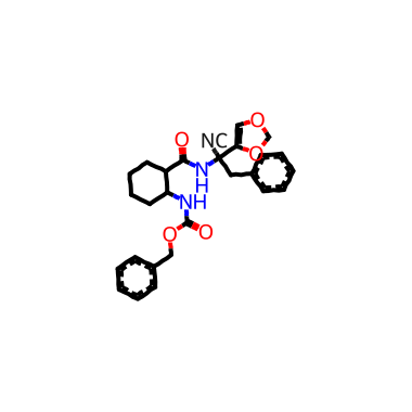 N#CC(Cc1ccccc1)(NC(=O)C1CCCCC1NC(=O)OCc1ccccc1)C1=COCO1